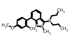 CCCN(CCC)c1c2cccc(-c3ccc(OC)cc3C)c2nn1C